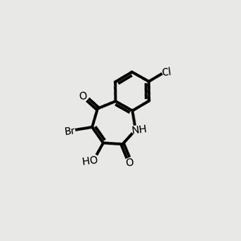 O=c1[nH]c2cc(Cl)ccc2c(=O)c(Br)c1O